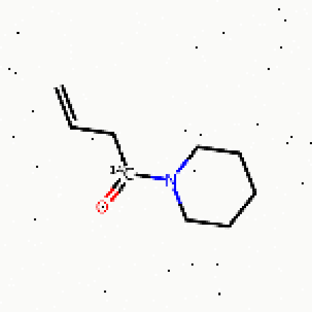 C=C[CH][14C](=O)N1CCCCC1